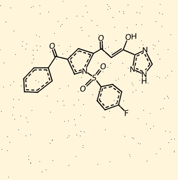 O=C(c1ccccc1)c1cc(C(=O)C=C(O)c2nc[nH]n2)n(S(=O)(=O)c2ccc(F)cc2)c1